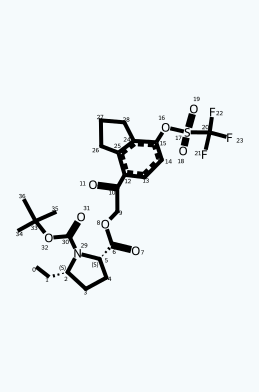 CC[C@H]1CC[C@@H](C(=O)OCC(=O)c2ccc(OS(=O)(=O)C(F)(F)F)c3c2CCC3)N1C(=O)OC(C)(C)C